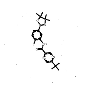 CC(C)(C)c1cnc(C(=O)Nc2cc(B3OC(C)(C)C(C)(C)O3)ccc2F)cn1